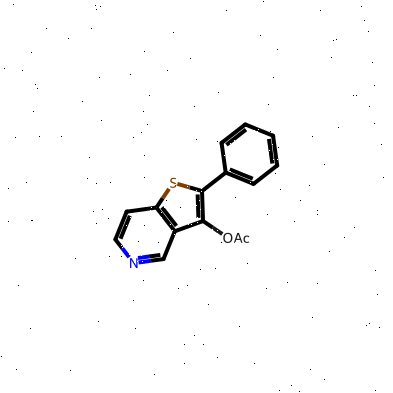 CC(=O)Oc1c(-c2ccccc2)sc2ccncc12